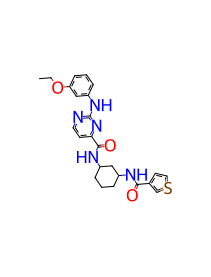 CCOc1cccc(Nc2nccc(C(=O)NC3CCCC(NC(=O)c4ccsc4)C3)n2)c1